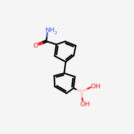 NC(=O)c1cccc(-c2cccc(B(O)O)c2)c1